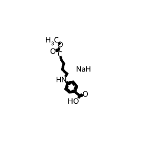 COC(=O)CCCCCNc1ccc(C(=O)O)cc1.[NaH]